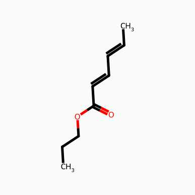 CC=CC=CC(=O)OCCC